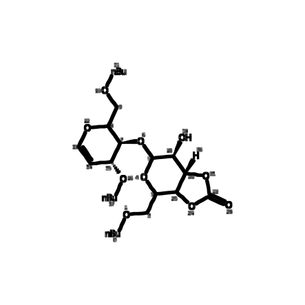 CCCCOCC1OC(O[C@@H]2C(COCCCC)OC=C[C@H]2OCCCC)[C@@H](O)[C@@H]2OC(=O)OC12